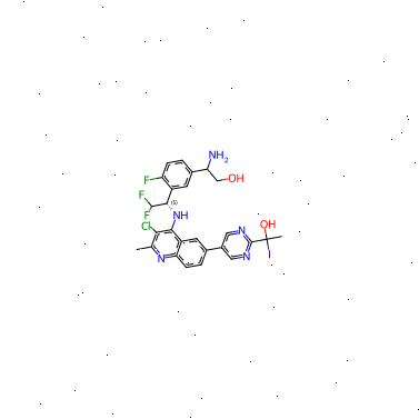 Cc1nc2ccc(-c3cnc(C(C)(O)I)nc3)cc2c(N[C@@H](c2cc(C(N)CO)ccc2F)C(F)F)c1Cl